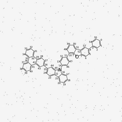 c1ccc(-c2ccc3oc4c(-c5ccc(-n6c7ccccc7c7ccc(-c8ccc9c%10ccccc%10c%10ccccc%10c9c8)cc76)cc5)cccc4c3c2)cc1